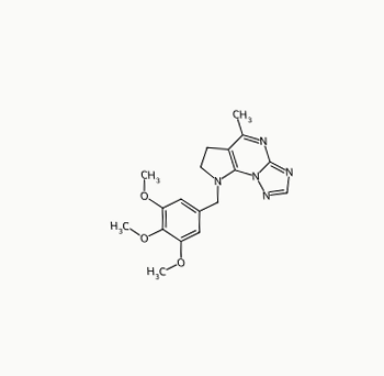 COc1cc(CN2CCc3c(C)nc4ncnn4c32)cc(OC)c1OC